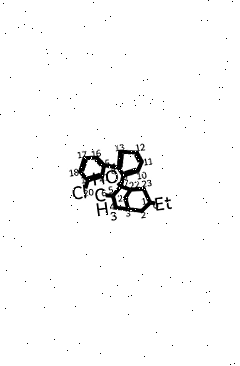 CCC1CC2CC(C)C(O)(c3ccccc3-c3cccc(Cl)c3)C(C1)C2